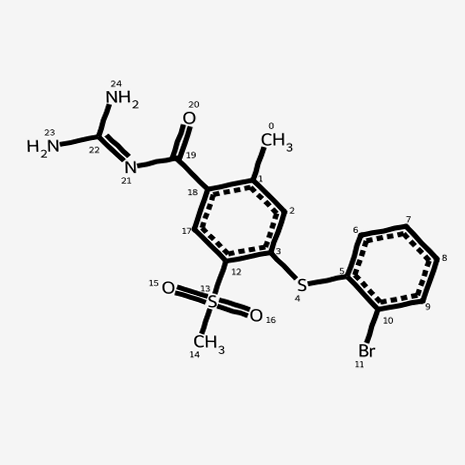 Cc1cc(Sc2ccccc2Br)c(S(C)(=O)=O)cc1C(=O)N=C(N)N